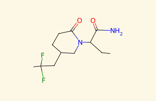 CCC(C(N)=O)N1CC(CC(C)(F)F)CCC1=O